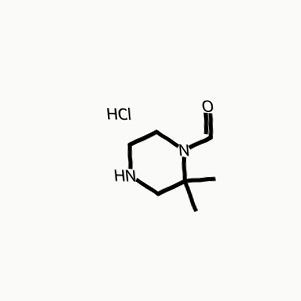 CC1(C)CNCCN1C=O.Cl